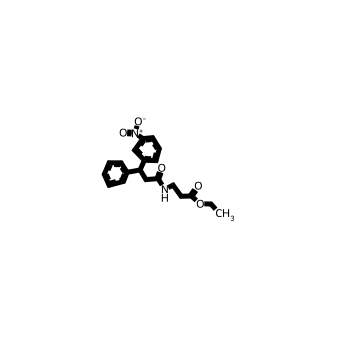 CCOC(=O)CCNC(=O)CC(c1ccccc1)c1cccc([N+](=O)[O-])c1